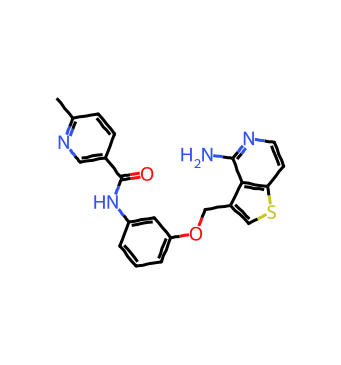 Cc1ccc(C(=O)Nc2cccc(OCc3csc4ccnc(N)c34)c2)cn1